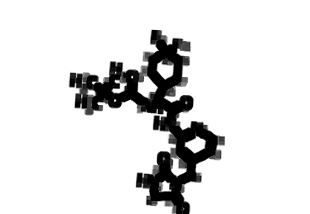 CC(C)(C)OC(=O)N[C@H](C(=O)Nc1cc(CN2C(=O)CNC2=O)ccn1)C1CCC(F)(F)CC1